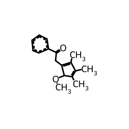 COC1C(C)=C(C)C(C)=C1CC(=O)c1ccccc1